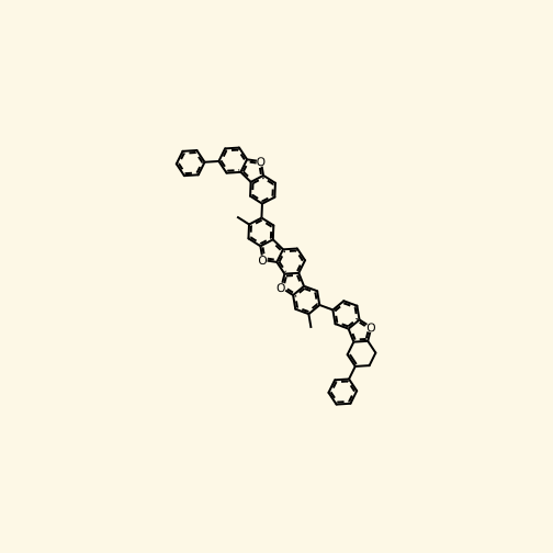 Cc1cc2oc3c(ccc4c5cc(-c6ccc7oc8ccc(-c9ccccc9)cc8c7c6)c(C)cc5oc43)c2cc1-c1ccc2oc3c(c2c1)C=C(c1ccccc1)CC3